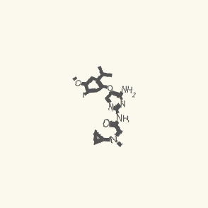 COc1cc(C(C)C)c(Oc2cnc(NC(=O)CN(C)C3CC3)nc2N)cc1I